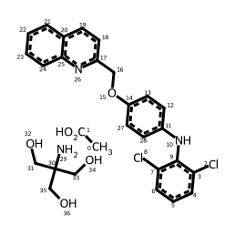 CC(=O)O.Clc1cccc(Cl)c1Nc1ccc(OCc2ccc3ccccc3n2)cc1.NC(CO)(CO)CO